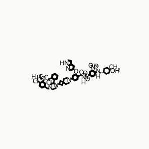 COc1cc(CN2CCN(C3CC4(CCN(c5ccc(C(=O)NS(=O)(=O)c6ccc(NC[C@H]7CC[C@](C)(O)CC7)c([N+](=O)[O-])c6)c(Oc6cnc7[nH]ccc7c6)c5)CC4)C3)C(c3ccccc3C(C)C)C2)ccc1Cl